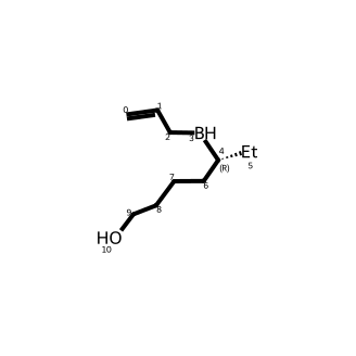 C=CCB[C@H](CC)CCCCO